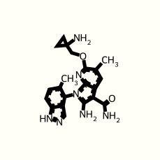 Cc1cc2c(C(N)=O)c(N)n(-c3c(C)ccc4[nH]ncc34)c2nc1OCC1(N)CC1